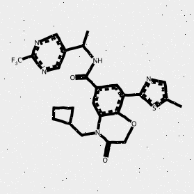 Cc1cnc(-c2cc(C(=O)NC(C)c3cnc(C(F)(F)F)nc3)cc3c2OCC(=O)N3CC2CCC2)s1